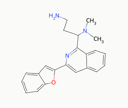 CN(C)C(CCN)c1nc(-c2cc3ccccc3o2)cc2ccccc12